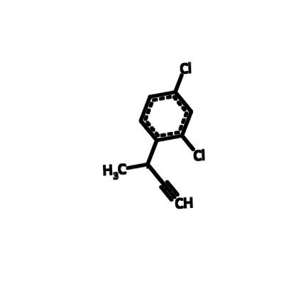 C#C[C](C)c1ccc(Cl)cc1Cl